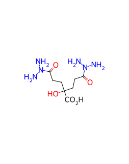 NN(N)C(=O)CCC(O)(CCC(=O)N(N)N)C(=O)O